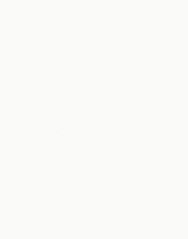 Cc1cc(=O)oc2cc(OC(=O)C(C)(C)C)ccc12